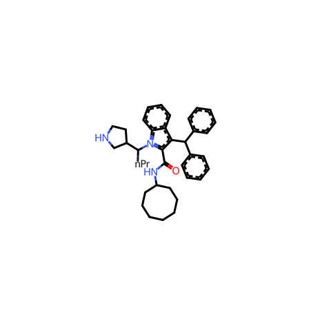 CCCC(C1CCNC1)n1c(C(=O)NC2CCCCCCC2)c(C(c2ccccc2)c2ccccc2)c2ccccc21